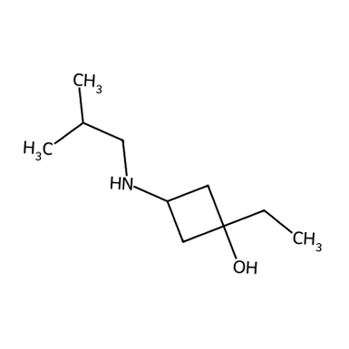 CCC1(O)CC(NCC(C)C)C1